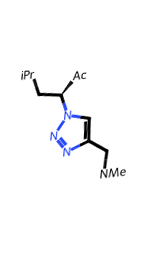 CNCc1cn([C@@H](CC(C)C)C(C)=O)nn1